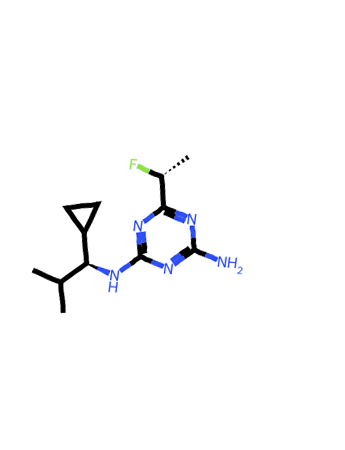 CC(C)[C@H](Nc1nc(N)nc([C@@H](C)F)n1)C1CC1